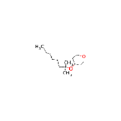 CCCCCCC(C)(C)OC1CCOCC1